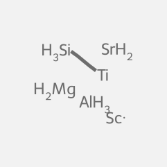 [AlH3].[MgH2].[Sc].[SiH3][Ti].[SrH2]